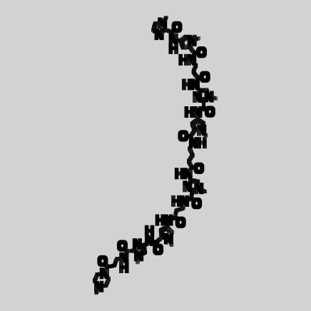 CN1CCN(C(=O)CCNC(=O)c2nc(NC(=O)c3cc(NC(=O)CCNC(=O)c4nc(NC(=O)CCCNC(=O)c5cc(NC(=O)c6nc(NC(=O)CCNC(=O)c7cc(NC(=O)c8nccn8C)cn7C)cn6C)cn5C)cn4C)cn3C)cn2C)CC1